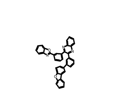 c1cc(-c2ccc3oc4ccccc4c3c2)cc(-c2nc3ccccc3nc2-c2cccc(-c3nc4ccccc4o3)c2)c1